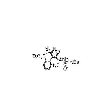 CCOC(=O)c1ccccc1-c1c(C)noc1[C@H](N[S@@+]([O-])C(C)(C)C)C(F)(F)F